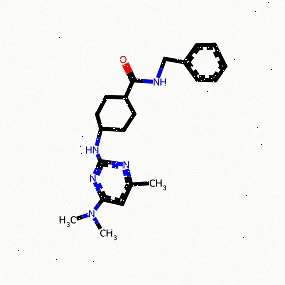 Cc1cc(N(C)C)nc(NC2CCC(C(=O)NCc3ccccc3)CC2)n1